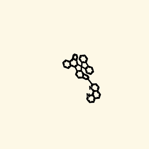 c1ccc2c(c1)-c1ccccc1C21c2c(ccc3cc(-c4ccc5ccc6cccnc6c5n4)ccc23)-c2c1c1ccccc1c1ccccc21